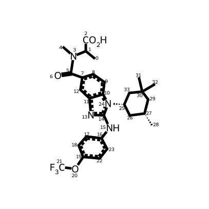 CC(C(=O)O)N(C)C(=O)c1ccc2c(c1)nc(Nc1ccc(OC(F)(F)F)cc1)n2[C@H]1C[C@@H](C)CC(C)(C)C1